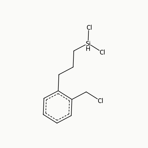 ClCc1ccccc1CCC[SiH](Cl)Cl